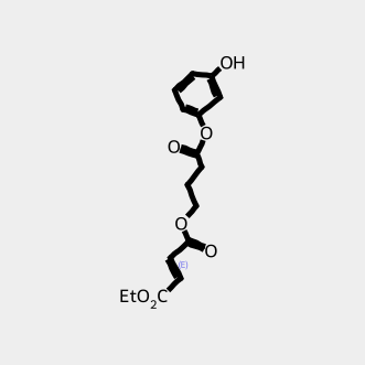 CCOC(=O)/C=C/C(=O)OCCCC(=O)Oc1cccc(O)c1